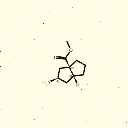 COC(=O)[C@@]12CCC[C@@H]1C[C@@H](N)C2